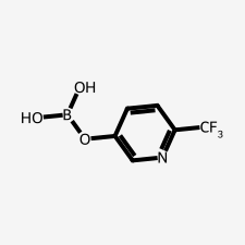 OB(O)Oc1ccc(C(F)(F)F)nc1